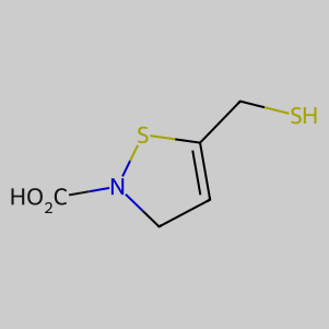 O=C(O)N1CC=C(CS)S1